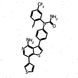 NC(=O)N(c1ccc(-c2csc3c(-c4ccsc4)cnc(N)c23)cc1)c1cc(C(F)(F)F)ccc1F